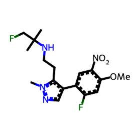 COc1cc(F)c(-c2cnn(C)c2CCNC(C)(C)CF)cc1[N+](=O)[O-]